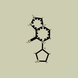 O=c1c2nncn2ccn1C1CCOC1